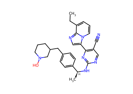 CCc1cccn2c(-c3nc(N[C@@H](C)c4ccc(CC5CCCN(O)C5)cc4)ncc3C#N)cnc12